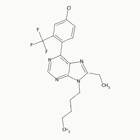 CCCCCn1c(CC)nc2c(-c3ccc(Cl)cc3C(F)(F)F)ncnc21